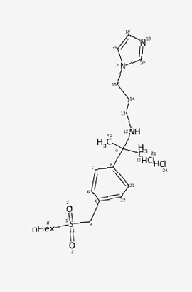 CCCCCCS(=O)(=O)Cc1ccc(C(C)(C)NCCCn2ccnc2)cc1.Cl.Cl